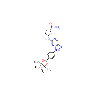 CC1(C)OB(c2ccc(-n3nnc4cnc(N[C@@H]5CC[C@@H](C(N)=O)C5)nc43)cc2)OC1(C)C